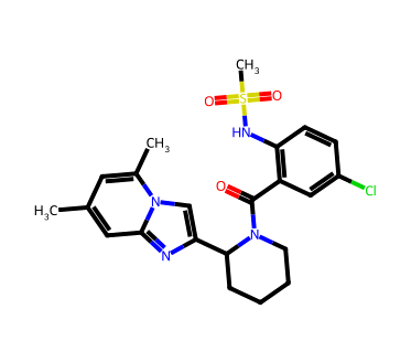 Cc1cc(C)n2cc(C3CCCCN3C(=O)c3cc(Cl)ccc3NS(C)(=O)=O)nc2c1